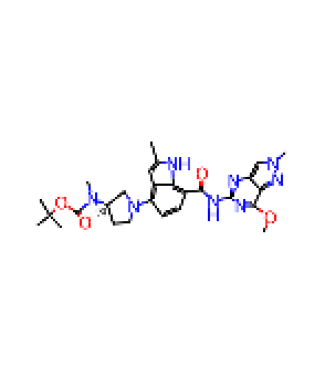 COc1nc(NC(=O)c2ccc(N3CC[C@@H](N(C)C(=O)OC(C)(C)C)C3)c3cc(C)[nH]c23)nc2cn(C)nc12